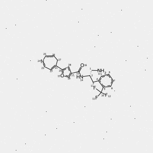 NC[C@H](Cc1ccccc1C(F)(F)F)NC(=O)c1coc(C2=CC=NC=CC2)c1